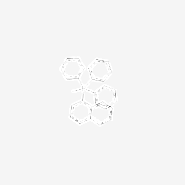 CP(c1ccccc1)(c1ccccc1)(c1ccccc1)c1cccc2ccccc12